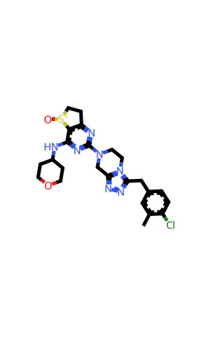 Cc1cc(Cc2nnc3n2CCN(c2nc4c(c(NC5CCOCC5)n2)[S+]([O-])CC4)C3)ccc1Cl